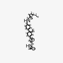 CCc1ccc(CNCc2ccc(-c3ccc(N4C[C@H](CNC(C)=O)O4)cc3F)cc2)s1